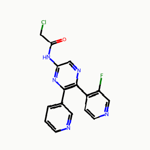 O=C(CCl)Nc1cnc(-c2ccncc2F)c(-c2cccnc2)n1